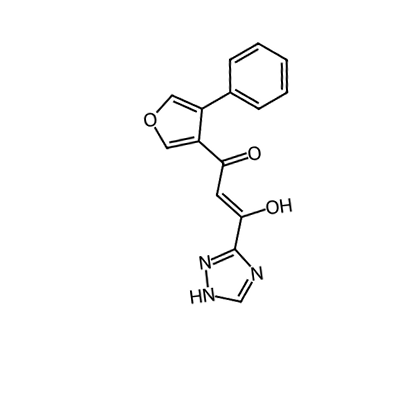 O=C(C=C(O)c1nc[nH]n1)c1cocc1-c1ccccc1